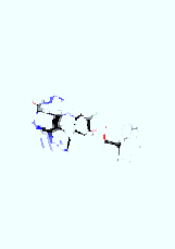 C=C(COc1ccc(Nc2c(C(N)=O)nnc3[nH]ccc23)cc1Cl)NC